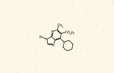 CCOC(=O)c1c(C)nc2c(ncn2CC)c1N1CCCCC1